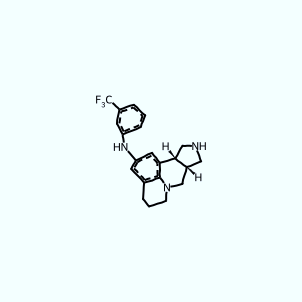 FC(F)(F)c1cccc(Nc2cc3c4c(c2)[C@@H]2CNC[C@@H]2CN4CCC3)c1